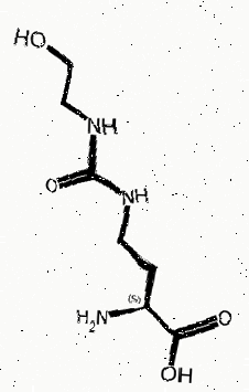 N[C@@H](CCNC(=O)NCCO)C(=O)O